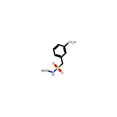 CONS(=O)(=O)Cc1cccc(C(=O)O)c1